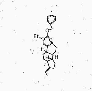 CC=C1CC[C@H]2[C@@H]3CCc4cc(OCc5ccccc5)c(CC)cc4[C@H]3CC[C@]12C